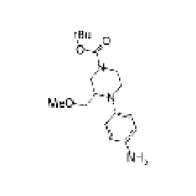 COCC1CN(C(=O)OC(C)(C)C)CCN1c1ccc(N)cc1